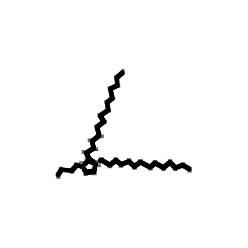 CCCCCCCCCCCCCCc1n(CCCC)cc[n+]1CCCCCCCCCCCCCC